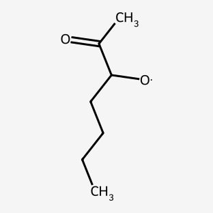 CCCCC([O])C(C)=O